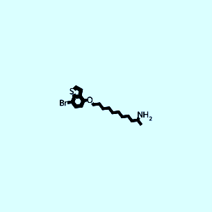 CC(N)CCCCCCCCCOc1ccc(Br)c2sccc12